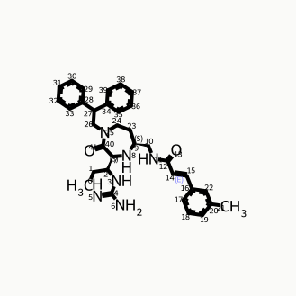 CCC(NC(=N)N)[C@@H]1N[C@H](CNC(=O)/C=C/c2cccc(C)c2)CCN(CC(c2ccccc2)c2ccccc2)C1=O